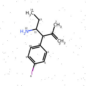 C=C(C)C(c1ccc(I)cc1)C(N)CC